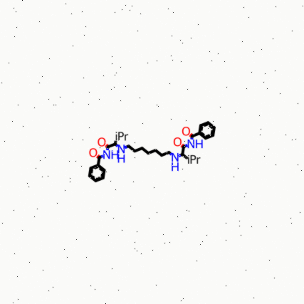 CC(C)C(NCCCCCCCNC(C(=O)NC(=O)c1ccccc1)C(C)C)C(=O)NC(=O)c1ccccc1